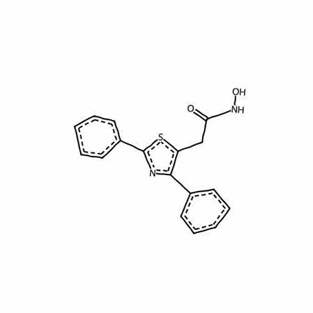 O=C(Cc1sc(-c2ccccc2)nc1-c1ccccc1)NO